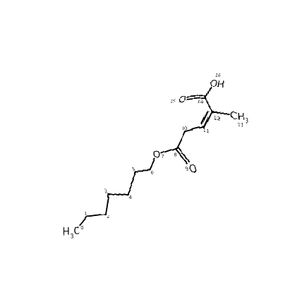 CCCCCCCOC(=O)CC=C(C)C(=O)O